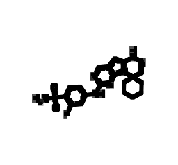 NS(=O)(=O)c1ccc(Nc2ncc3cc4n(c3n2)C2(C=NN4)CCCCC2)cc1F